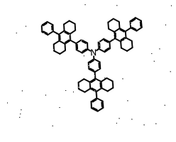 c1ccc(-c2c3c(c(-c4ccc(N(c5ccc(-c6c7c(c(-c8ccccc8)c8c6CCCC8)CCCC7)cc5)c5ccc(-c6c7c(c(-c8ccccc8)c8c6CCCC8)CCCC7)cc5)cc4)c4c2CCCC4)CCCC3)cc1